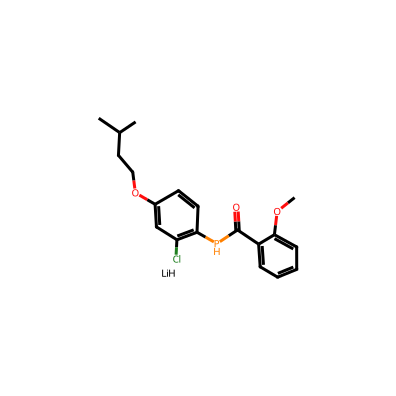 COc1ccccc1C(=O)Pc1ccc(OCCC(C)C)cc1Cl.[LiH]